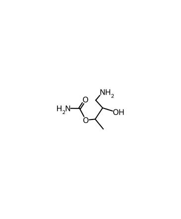 CC(OC(N)=O)C(O)CN